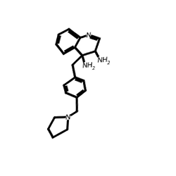 NC1C=Nc2ccccc2C1(N)Cc1ccc(CN2CCCC2)cc1